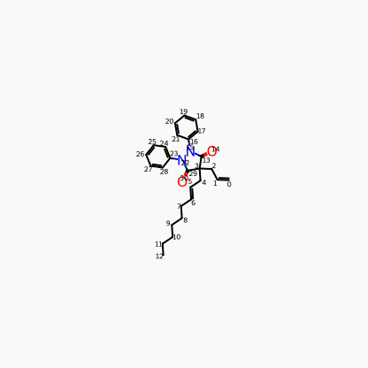 C=CCC1(C/C=C/CCCCCC)C(=O)N(c2ccccc2)N(c2ccccc2)C1=O